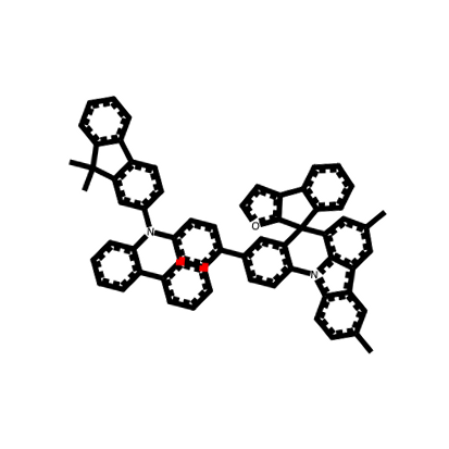 Cc1ccc2c(c1)c1cc(C)cc3c1n2-c1ccc(-c2ccc(N(c4ccc5c(c4)C(C)(C)c4ccccc4-5)c4ccccc4-c4ccccc4)cc2)cc1C31c2ccccc2-c2ccoc21